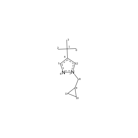 CC(C)(C)c1cnn(CC2CC2)c1